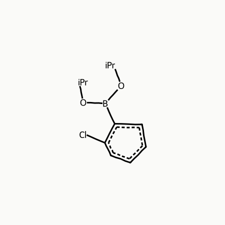 CC(C)OB(OC(C)C)c1ccccc1Cl